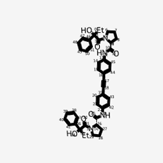 CCC(O)(C(=O)N1CCC[C@H]1C(=O)Nc1ccc(C#Cc2ccc(NC(=O)[C@@H]3CCCN3C(=O)C(O)(CC)c3ccccc3)cc2)cc1)c1ccccc1